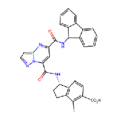 Cc1c(C(=O)O)ccc2c1CC[C@@H]2NC(=O)c1cc(C(=O)NC2c3ccccc3-c3ccccc32)nc2ccnn12